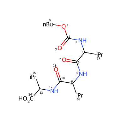 CCCCOC(=O)NC(C(=O)NC(C(=O)NC(C(=O)O)C(C)C)C(C)C)C(C)C